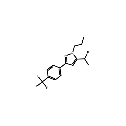 CCCn1nc(-c2ccc(C(F)(F)F)cc2)cc1C(C)Br